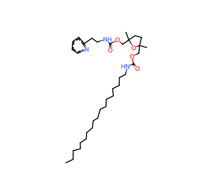 CCCCCCCCCCCCCCCCCCNC(=O)OCC1(C)CCC(C)(COC(=O)NCCc2ccccn2)O1